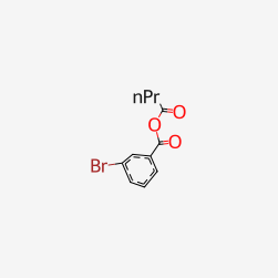 CCCC(=O)OC(=O)c1cccc(Br)c1